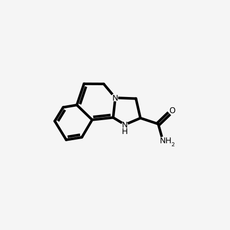 NC(=O)C1CN2CC=c3ccccc3=C2N1